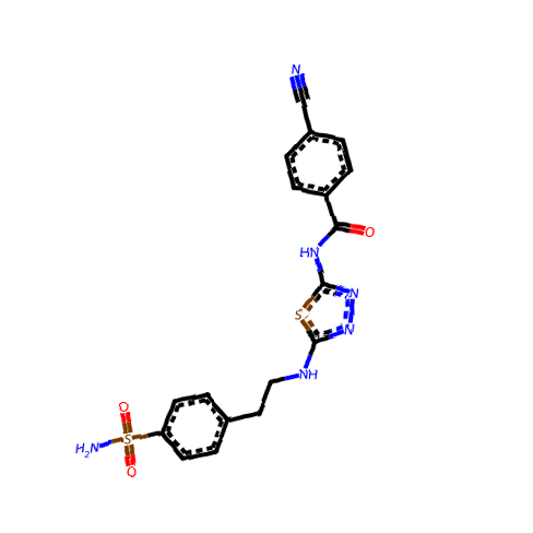 N#Cc1ccc(C(=O)Nc2nnc(NCCc3ccc(S(N)(=O)=O)cc3)s2)cc1